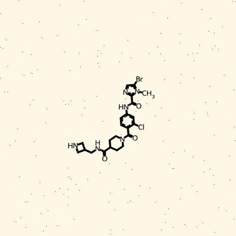 Cn1c(Br)cnc1C(=O)Nc1ccc(C(=O)N2CCC(C(=O)NCC3CNC3)CC2)c(Cl)c1